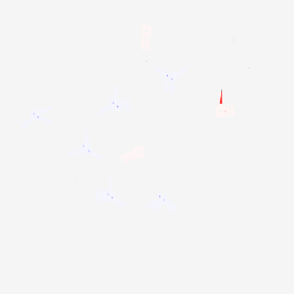 O=C(NC[C@H](O)C(F)(F)F)C1C=CC2=C(N1)N(C(=O)Nc1ccc(F)cn1)[C@H]1CCN2C1